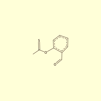 CC(=S)Oc1ccccc1C=O